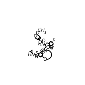 CCOC1OCC2CC1CC2OC(=O)N[C@@H](Cc1cc(F)cc(F)c1)[C@H](O)CN1CCCCCCCOCc2cc3nc(NC4CC4)sc3cc2S1(=O)=O